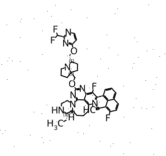 C#Cc1c(F)ccc2cccc(-c3nc4c5c(nc(OC[C@@]67CCCN6[C@H](COc6ccnc(C(F)F)n6)CC7)nc5c3F)N3CCN[C@@H](CC)[C@H]3CCC4)c12